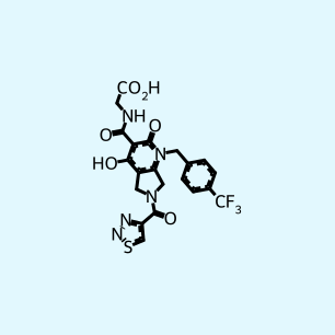 O=C(O)CNC(=O)c1c(O)c2c(n(Cc3ccc(C(F)(F)F)cc3)c1=O)CN(C(=O)c1csnn1)C2